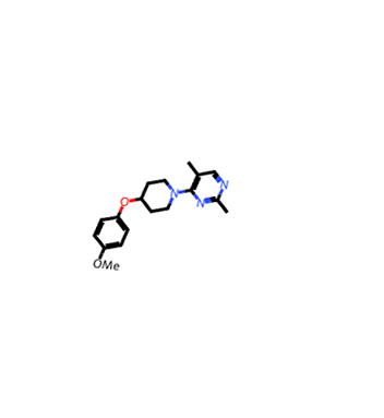 COc1ccc(OC2CCN(c3nc(C)ncc3C)CC2)cc1